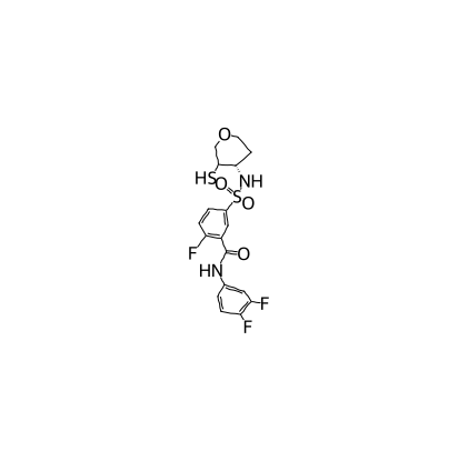 O=C(Nc1ccc(F)c(F)c1)c1cc(S(=O)(=O)N[C@H]2CCOCC2S)ccc1F